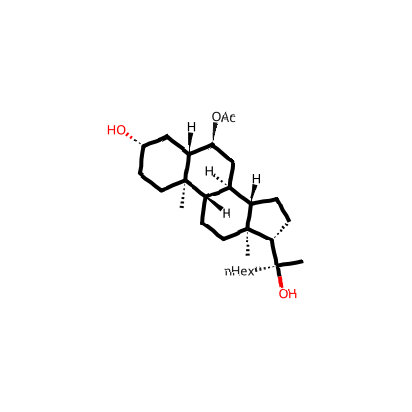 CCCCCC[C@](C)(O)[C@H]1CC[C@H]2[C@@H]3C[C@H](OC(C)=O)[C@H]4C[C@@H](O)CC[C@]4(C)[C@H]3CC[C@@]21C